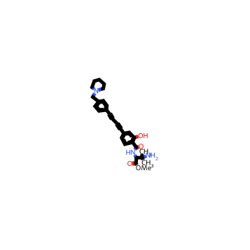 COC(=O)C(NC(=O)c1ccc(C#CC#Cc2ccc(CN3CCCCC3)cc2)cc1O)C(C)(C)N